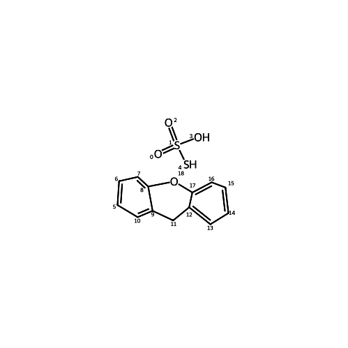 O=S(=O)(O)S.c1ccc2c(c1)Cc1ccccc1O2